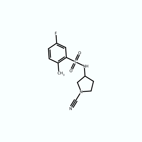 Cc1ccc(F)cc1S(=O)(=O)NC1CCN(C#N)C1